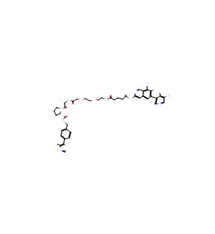 Cc1ncsc1-c1ccc(CNC(=O)[C@@H]2C[C@@H](O)CN2C(=O)[C@@H](NC(=O)COCCOCCNC(=O)CCCC(=O)Nc2cc3cc(-c4cncc(N)c4C)c(F)c(N)c3cn2)C(C)(C)C)cc1